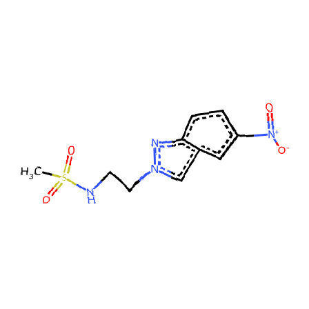 CS(=O)(=O)NCCn1cc2cc([N+](=O)[O-])ccc2n1